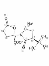 CC(C)(O)[C@@H]1CON(C2(C(=O)[O-])CCC(=O)O2)C1=O.[Na+]